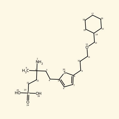 CC(N)(CCc1ccc(CCCOCC2CCCCC2)s1)CCP(=O)(O)O